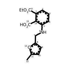 CCOC(=O)c1cccc(NCc2ccc(C)o2)c1C(=O)O